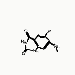 CNc1cc2[nH]c(=O)[nH]c(=O)c2cc1F